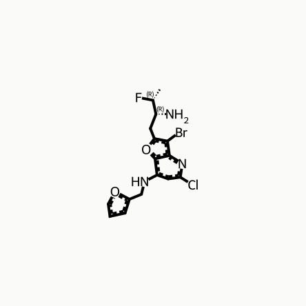 C[C@@H](F)[C@H](N)Cc1oc2c(NCc3ccco3)cc(Cl)nc2c1Br